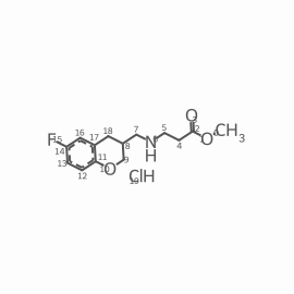 COC(=O)CCNCC1COc2ccc(F)cc2C1.Cl